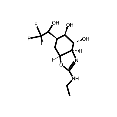 CCNC1=N[C@@H]2[C@@H](O)[C@H](O)[C@H](C(O)C(F)(F)F)C[C@@H]2O1